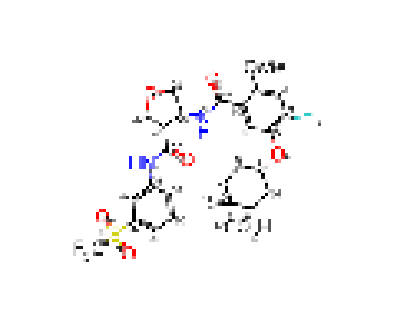 COc1cc(F)c(O[C@H]2CC[C@@](C)(C(=O)O)CC2)cc1C(=O)N[C@@H]1COC[C@@H]1C(=O)Nc1cccc(S(=O)(=O)C(F)(F)F)c1